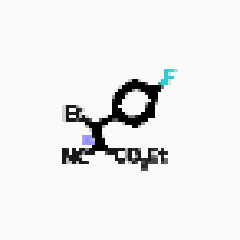 CCOC(=O)/C(C#N)=C(/CC)c1ccc(F)cc1